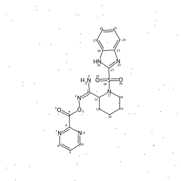 N/C(=N/OC(=O)c1ncccn1)C1CCCCN1S(=O)(=O)c1nc2ccccc2[nH]1